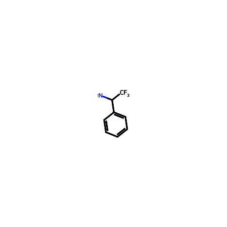 [N]C(c1ccccc1)C(F)(F)F